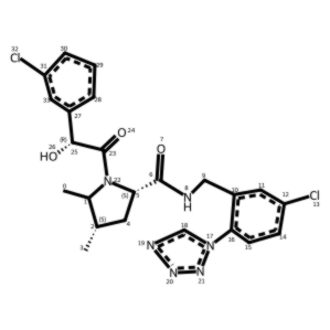 CC1[C@@H](C)C[C@@H](C(=O)NCc2cc(Cl)ccc2-n2cnnn2)N1C(=O)[C@H](O)c1cccc(Cl)c1